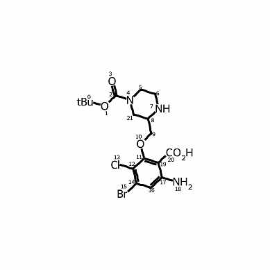 CC(C)(C)OC(=O)N1CCNC(COc2c(Cl)c(Br)cc(N)c2C(=O)O)C1